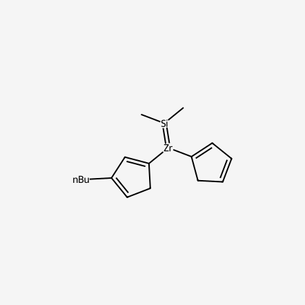 CCCCC1=CC[C]([Zr]([C]2=CC=CC2)=[Si](C)C)=C1